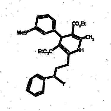 CCOC(=O)C1=C(C)NC(CCC(F)c2ccccc2)=C(C(=O)OCC)C1c1cccc(SC)c1